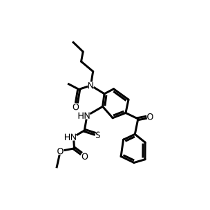 CCCCN(C(C)=O)c1ccc(C(=O)c2ccccc2)cc1NC(=S)NC(=O)OC